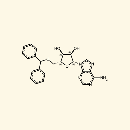 Nc1ncnc2c1ncn2[C@@H]1O[C@H](COC(c2ccccc2)c2ccccc2)[C@@H](O)[C@H]1O